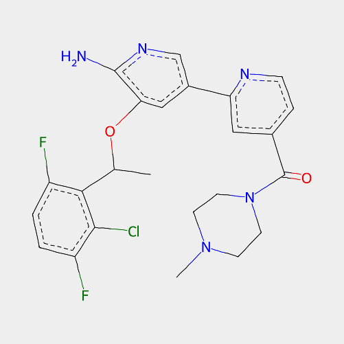 CC(Oc1cc(-c2cc(C(=O)N3CCN(C)CC3)ccn2)cnc1N)c1c(F)ccc(F)c1Cl